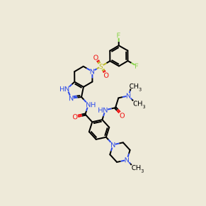 CN(C)CC(=O)Nc1cc(N2CCN(C)CC2)ccc1C(=O)Nc1n[nH]c2c1CN(S(=O)(=O)c1cc(F)cc(F)c1)CC2